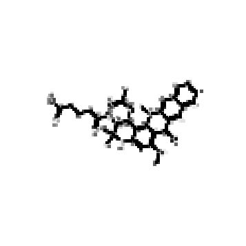 COc1cc2c(c3c1c(=O)c1cc4ccccc4cc1n3C)[C@H](OC(C)=O)[C@H](OC(=O)CCCC(=O)O)C(C)(C)O2